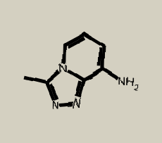 Cc1nnc2c(N)cccn12